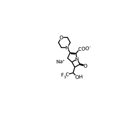 O=C([O-])C1=C(N2CCOCC2)CC2C(C(O)C(F)(F)F)C(=O)N12.[Na+]